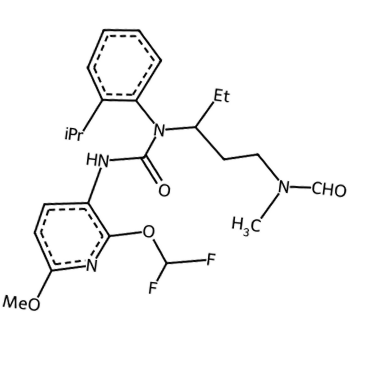 CCC(CCN(C)C=O)N(C(=O)Nc1ccc(OC)nc1OC(F)F)c1ccccc1C(C)C